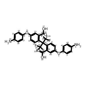 Nc1ccc(Oc2ccc(C(c3ccc(Oc4ccc(N)cc4)cc3C(=O)O)(C(F)(F)F)C(F)(F)F)c(C(=O)O)c2)cc1